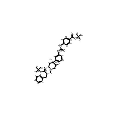 C[C@H]1CN(C[C@H](Cc2ccccc2)C(=O)OC(C)(C)C)CC[C@@]1(C)c1cccc(OC(=O)Nc2ccc(C(=O)OC(C)(C)C)cc2)c1